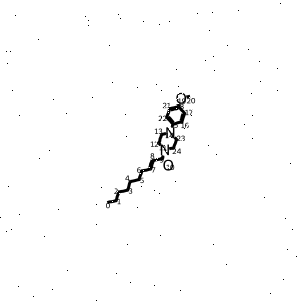 CCCCCCCC=CC(=O)N1CCN(c2ccc(OC)cc2)CC1